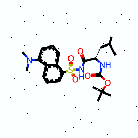 CC(C)C[C@H](NC(=O)OC(C)(C)C)C(=O)NS(=O)(=O)c1cccc2c(N(C)C)cccc12